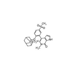 Cn1cc(-c2cc(S(C)(=O)=O)ccc2OC23CC4CC(C2)C(C(=O)O)C(C4)C3)c2cc[nH]c2c1=O